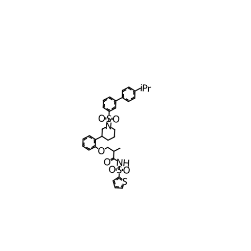 CC(COc1ccccc1C1CCCN(S(=O)(=O)c2cccc(-c3ccc(C(C)C)cc3)c2)C1)C(=O)NS(=O)(=O)c1cccs1